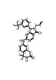 C=CCn1c(=O)c2cnc(Nc3ccc4c(c3)CC(=O)NC4(C)C)nc2n1-c1cccc(C(C)(C)C)n1